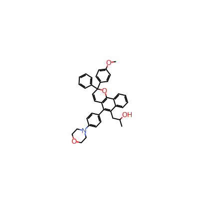 COc1ccc(C2(c3ccccc3)C=Cc3c(-c4ccc(N5CCOCC5)cc4)c(CC(C)O)c4ccccc4c3O2)cc1